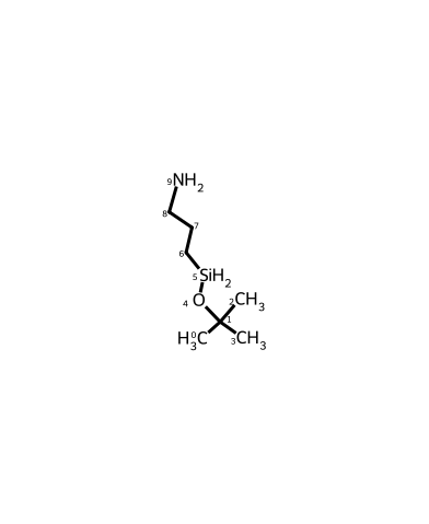 CC(C)(C)O[SiH2]CCCN